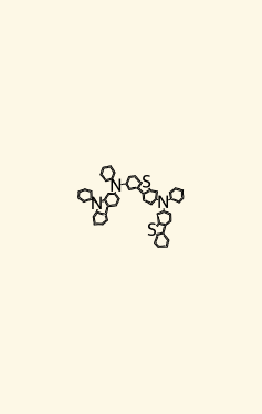 c1ccc(N(c2ccc3c(c2)sc2ccccc23)c2ccc3c(c2)sc2ccc(N(c4ccccc4)c4ccc5c6ccccc6n(-c6ccccc6)c5c4)cc23)cc1